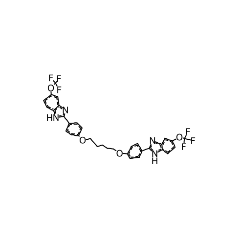 FC(F)(F)Oc1ccc2[nH]c(-c3ccc(OCCCCCOc4ccc(-c5nc6cc(OC(F)(F)F)ccc6[nH]5)cc4)cc3)nc2c1